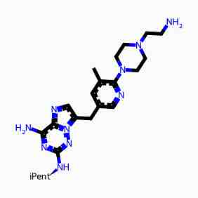 CCC[C@H](C)Nc1nc(N)c2ncc(Cc3cnc(N4CCN(CCN)CC4)c(C)c3)n2n1